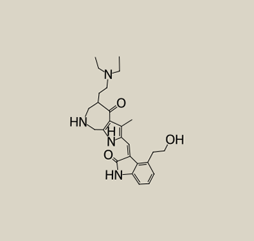 CCN(CC)CCC1CNCc2[nH]c(C=C3C(=O)Nc4cccc(CCO)c43)c(C)c2C1=O